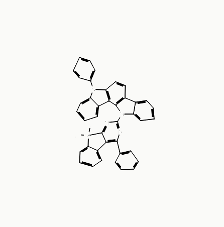 C[Si]1(C)c2ccccc2-c2c(-c3ccccc3)nc(-n3c4ccccc4c4ccc5c(c6ccccc6n5-c5ccccc5)c43)nc21